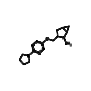 CN1C(COc2ccc(N3CCCC3)nc2)CC2CC21